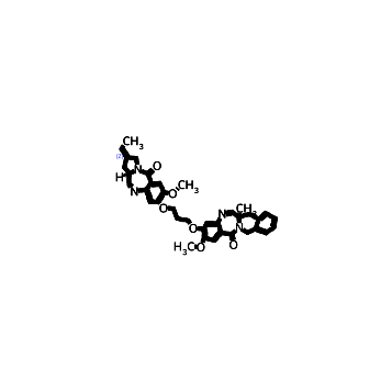 C/C=C1/C[C@H]2C=Nc3cc(OCCCOc4cc5c(cc4OC)C(=O)N4Cc6ccccc6CC4(C)C=N5)c(OC)cc3C(=O)N2C1